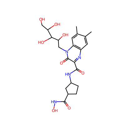 Cc1cc2nc(C(=O)NC3CCC(C(=O)NO)C3)c(=O)n(CC(O)C(O)C(O)CO)c2cc1C